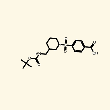 CC(C)(C)OC(=O)NCC1CCCN(S(=O)(=O)c2ccc(C(=O)O)cc2)C1